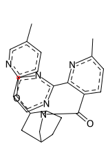 Cc1ccc(OC2CC3CCC2N(C(=O)c2ccc(C)nc2-c2ncccn2)C3)nc1